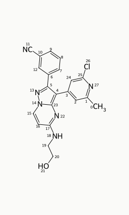 Cc1cc(-c2c(-c3cccc(C#N)c3)nn3ccc(NCCO)nc23)cc(Cl)n1